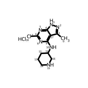 Cc1n[nH]c2nc(Cl)nc(NC3CCCNC3)c12.Cl